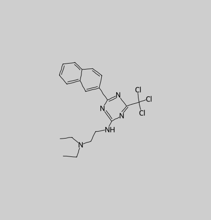 CCN(CC)CCNc1nc(-c2ccc3ccccc3c2)nc(C(Cl)(Cl)Cl)n1